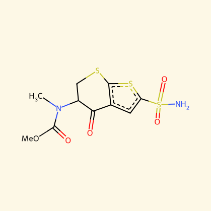 COC(=O)N(C)C1CSc2sc(S(N)(=O)=O)cc2C1=O